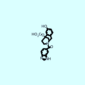 O=C(O)OC12CCN(C(=O)c3ccc4nc[nH]c4c3)C(Cc3ccc(O)cc31)C2